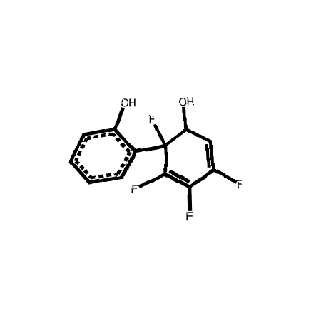 Oc1ccccc1C1(F)C(F)=C(F)C(F)=CC1O